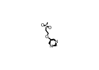 CS(=O)(=O)CCOc1cn[c]nc1